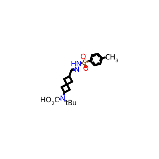 Cc1ccc(S(=O)(=O)NN=CC2CC3(C2)CC(N(C(=O)O)C(C)(C)C)C3)cc1